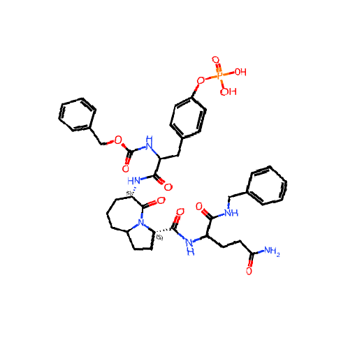 NC(=O)CCC(NC(=O)[C@@H]1CCC2CCC[C@H](NC(=O)C(Cc3ccc(OP(=O)(O)O)cc3)NC(=O)OCc3ccccc3)C(=O)N21)C(=O)NCc1ccccc1